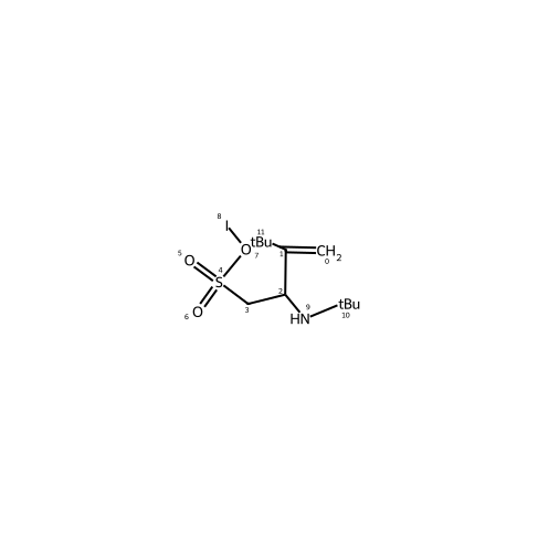 C=C(C(CS(=O)(=O)OI)NC(C)(C)C)C(C)(C)C